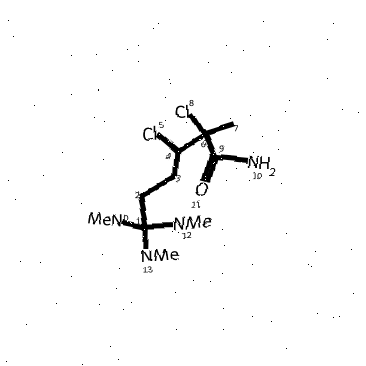 CNC(CCC(Cl)C(C)(Cl)C(N)=O)(NC)NC